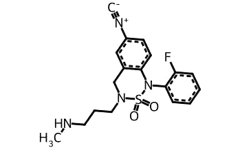 [C-]#[N+]c1ccc2c(c1)CN(CCCNC)S(=O)(=O)N2c1ccccc1F